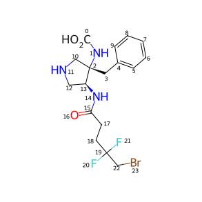 O=C(O)N[C@@]1(Cc2ccccc2)CNC[C@@H]1NC(=O)CCC(F)(F)CBr